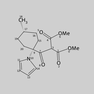 COC(=O)C(C(=O)OC)C(=O)[C@]1(n2cccc2)CC[C@@H](C)CC1